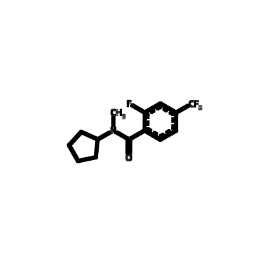 CN(C(=O)c1ccc(C(F)(F)F)cc1F)C1CCCC1